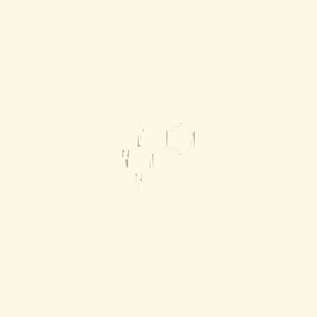 Cn1cnc(=O)c(-c2ccccc2)c1